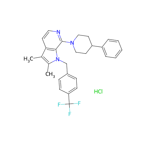 Cc1c(C)n(Cc2ccc(C(F)(F)F)cc2)c2c(N3CCC(c4ccccc4)CC3)nccc12.Cl